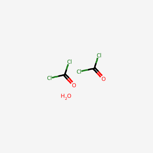 O.O=C(Cl)Cl.O=C(Cl)Cl